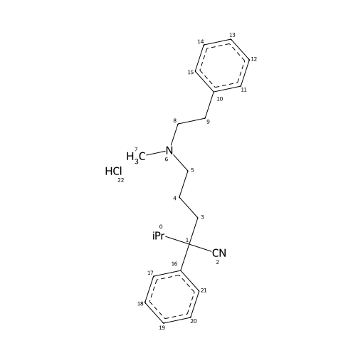 CC(C)C(C#N)(CCCN(C)CCc1ccccc1)c1ccccc1.Cl